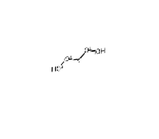 OOCOO